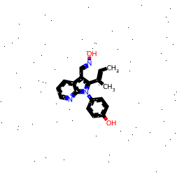 CC=C(C)c1c(C=NO)c2cccnc2n1-c1ccc(O)cc1